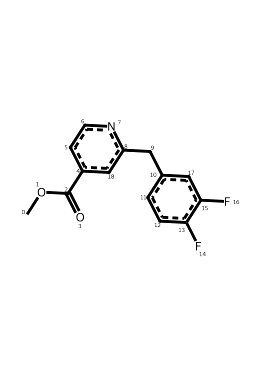 COC(=O)c1ccnc(Cc2ccc(F)c(F)c2)c1